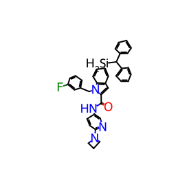 O=C(Nc1ccc(N2CCC2)nc1)c1cc2cc([SiH2]C(c3ccccc3)c3ccccc3)ccc2n1Cc1cccc(F)c1